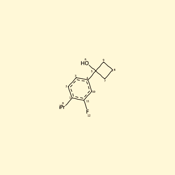 CC(C)c1ccc(C2(O)C[CH]C2)cc1F